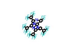 N#Cc1cc(C(F)(F)F)ccc1-c1cc(-n2c3ccc(-c4cc(C(F)(F)F)cc(C(F)(F)F)c4)cc3c3cc(-c4cc(C(F)(F)F)cc(C(F)(F)F)c4)ccc32)c(C#N)c(-n2c3ccc(-c4cc(C(F)(F)F)cc(C(F)(F)F)c4)cc3c3cc(-c4cc(C(F)(F)F)cc(C(F)(F)F)c4)ccc32)c1